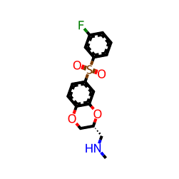 CNC[C@@H]1COc2ccc(S(=O)(=O)c3cccc(F)c3)cc2O1